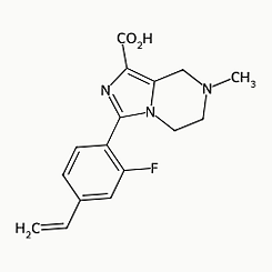 C=Cc1ccc(-c2nc(C(=O)O)c3n2CCN(C)C3)c(F)c1